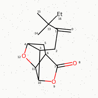 C=C(CC1C2CC3C(=O)OC1C3O2)C(C)(C)CC